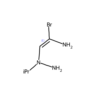 CC(C)N(N)/C=C(\N)Br